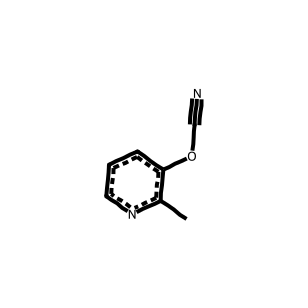 Cc1ncccc1OC#N